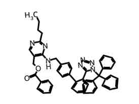 CCCCc1ncc(COC(=O)c2ccccc2)c(NCc2ccc(-c3ccccc3-c3nnnn3C(c3ccccc3)(c3ccccc3)c3ccccc3)cc2)n1